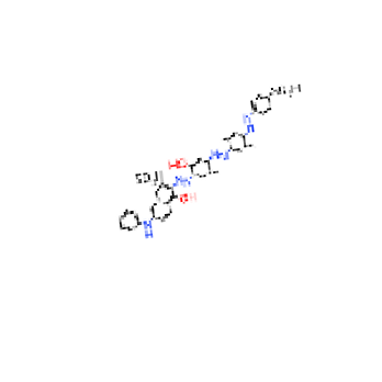 Cc1cc(N=Nc2cc(O)c(N=Nc3c(S(=O)(=O)O)cc4cc(Nc5ccccc5)ccc4c3O)cc2C)c(C)cc1N=Nc1ccc(S(=O)(=O)O)cc1